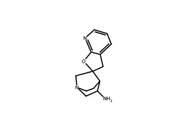 NC1CN2CCC1C1(Cc3cccnc3O1)C2